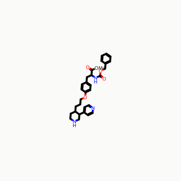 COC(=O)C(Cc1ccc(OCCCC2CCNCC2c2ccncc2)cc1)NC(=O)OCc1ccccc1